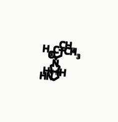 CC(C)(C)CC(=O)N1C[C@@H]2CCN[C@@H]2C1